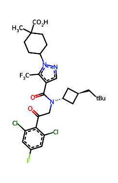 CC(C)(C)C[C@H]1C[C@H](N(CC(=O)c2c(Cl)cc(F)cc2Cl)C(=O)c2cnn(C3CCC(C)(C(=O)O)CC3)c2C(F)(F)F)C1